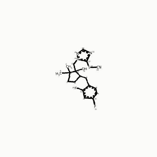 CC1(C)CCC(Cc2ccc(F)cc2F)C1(O)Cn1ncnc1SC#N